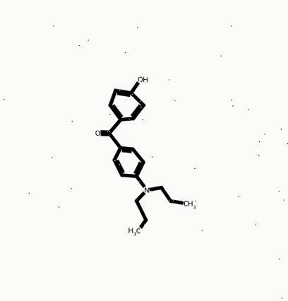 CCCN(CCC)c1ccc(C(=O)c2ccc(O)cc2)cc1